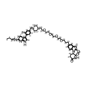 CCCCNc1ncc2c(-c3ccc(CN4CCN(CCOCCOCCOCCOCCCc5ccc6c(c5)n(C)c(=O)n6[C@H]5CCC(=O)NC5=O)CC4)cc3F)c[nH]c2n1